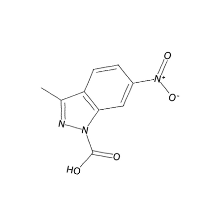 Cc1nn(C(=O)O)c2cc([N+](=O)[O-])ccc12